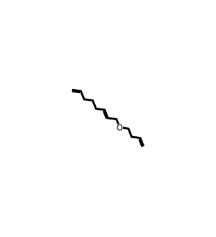 C=CCCCC=CCOCCC=C